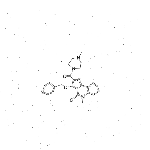 CN1CCN(C(=O)c2sc3c(c2OCc2ccncc2)c(=O)n(C)c2ccccc32)CC1